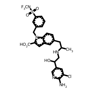 CC(Cc1ccc2c(c1)cc(C(=O)O)n2Cc1cccc(S(=O)(=O)NC(F)(F)F)c1)NCC(O)c1cnc(N)c(Cl)c1